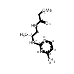 COCC(=O)NC[C@@H](C)Nc1nccc(C)n1